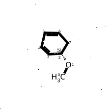 CO[C@@H]1C=C[C]=CC1